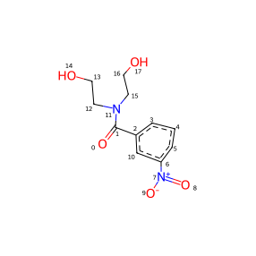 O=C(c1cccc([N+](=O)[O-])c1)N(CCO)CCO